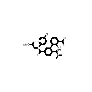 COC(=O)CN(C(=O)c1ccc(C(=N)N(C)C)c(-c2cccc(C(N)=O)c2S)c1)c1ccc(Cl)cn1